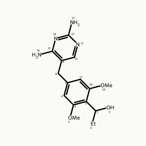 CCC(O)c1c(OC)cc(Cc2cnc(N)nc2N)cc1OC